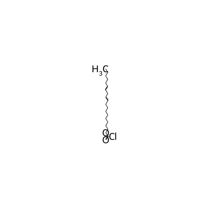 CCCCCC=CCC=CCCCCCCCCOC(=O)Cl